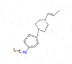 C/C=C/C1CCC(c2ccc(N=C=S)cc2)CC1